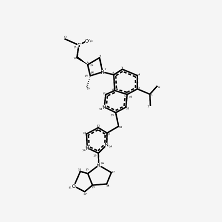 CC(C)c1ccc(N2C[C@H](C[S+](C)[O-])[C@H]2C)c2cnc(Cc3ccnc(N4CCC5COCC54)n3)cc12